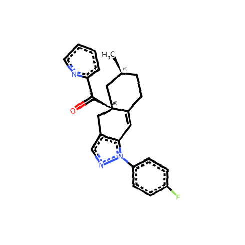 C[C@H]1CCC2=Cc3c(cnn3-c3ccc(F)cc3)C[C@]2(C(=O)c2ccccn2)C1